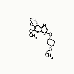 CCOC1CCC(Oc2cnc3cc(OC)c(OC)cc3n2)CC1